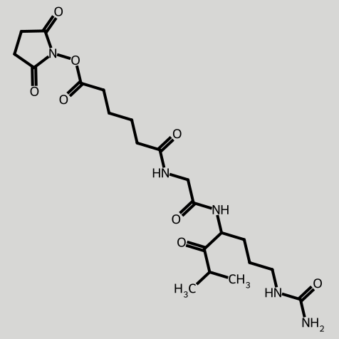 CC(C)C(=O)C(CCCNC(N)=O)NC(=O)CNC(=O)CCCCC(=O)ON1C(=O)CCC1=O